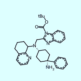 CC(C)(C)OC(=O)n1c(CN(C2CCCc3cccnc32)[C@H]2CC[C@](N)(c3ccccc3)CC2)nc2ccccc21